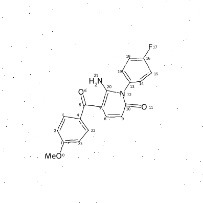 COc1ccc(C(=O)c2ccc(=O)n(-c3ccc(F)cc3)c2N)cc1